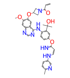 C=CC(=O)N1CC(Oc2cc3c(Nc4ccc(OC(=N)/C=C\Nc5ccc(C)nc5)cc4C(C)(C)O)ncnc3cc2OC)C1